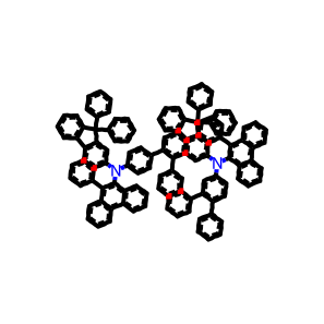 c1ccc(-c2ccc(N(c3ccc4c(c3)C(c3ccccc3)(c3ccccc3)c3ccccc3-4)c3c(-c4cccc(-c5ccc(-c6ccc(N(c7ccc8c(c7)C(c7ccccc7)(c7ccccc7)c7ccccc7-8)c7c(-c8ccccc8)c8ccccc8c8ccccc78)cc6)c(-c6ccccc6)c5)c4)c4ccccc4c4ccccc34)cc2-c2ccccc2)cc1